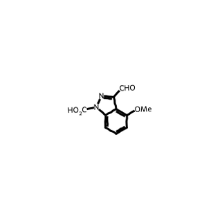 COc1cccc2c1c(C=O)nn2C(=O)O